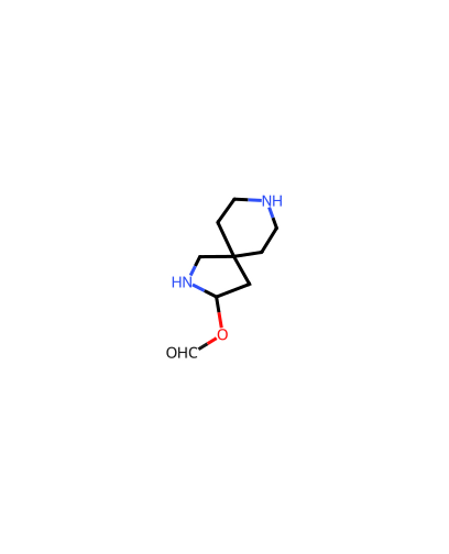 O=COC1CC2(CCNCC2)CN1